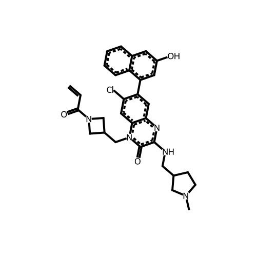 C=CC(=O)N1CC(Cn2c(=O)c(NCC3CCN(C)C3)nc3cc(-c4cc(O)cc5ccccc45)c(Cl)cc32)C1